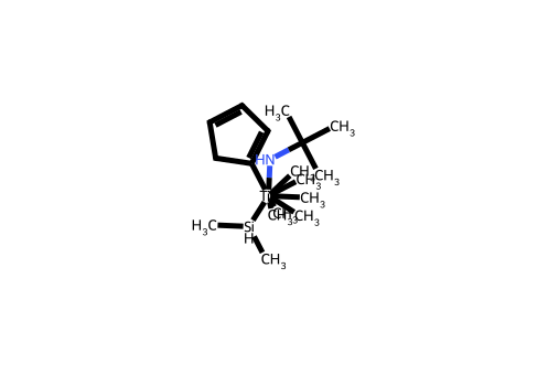 C[SiH](C)[Ti]([CH3])([CH3])([CH3])([CH3])([CH3])([CH3])([NH]C(C)(C)C)[C]1=CC=CC1